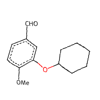 COc1ccc(C=O)cc1OC1CCCCC1